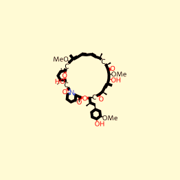 CO[C@H]1C[C@@H]2CC[C@@H](C)[C@](O)(CC(=O)N3CCCC[C@H]3C(=O)O[C@H]([C@H](C)C[C@@H]3CC[C@@H](O)[C@H](OC)C3)CC(=O)[C@H](C)/C=C(\C)[C@@H](O)[C@@H](OC)C(=O)[C@H](C)C[C@H](C)/C=C/C=C/C=C/1C)O2